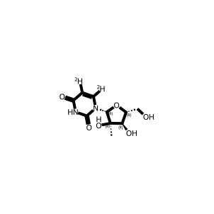 [2H]c1c([2H])n([C@@H]2O[C@H](CO)[C@@H](O)[C@@]2(C)O)c(=O)[nH]c1=O